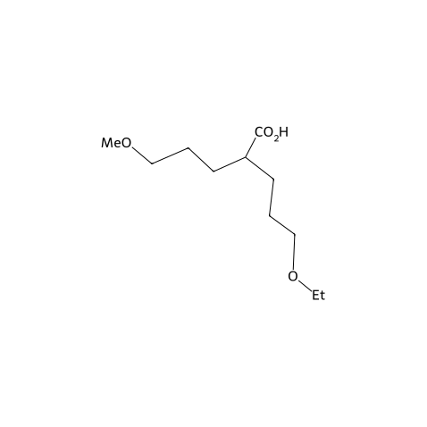 CCOCCCC(CCCOC)C(=O)O